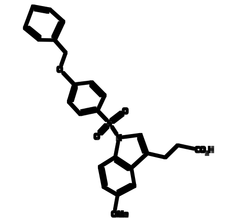 COc1ccc2c(c1)c(CCC(=O)O)cn2S(=O)(=O)c1ccc(OCc2ccccc2)cc1